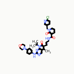 Cc1c(/C=C/CNC(=O)c2cccn(Cc3ccc(Cl)nc3)c2=O)c(=O)n(C(C)C)c2nc(Nc3ccc(N4CCOCC4)cc3)ncc12